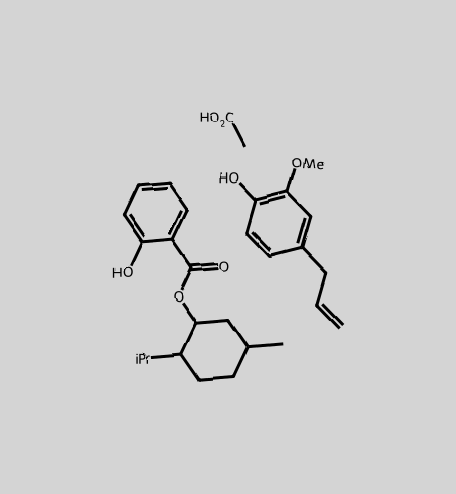 C=CCc1ccc(O)c(OC)c1.CC(=O)O.CC1CCC(C(C)C)C(OC(=O)c2ccccc2O)C1